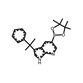 CC(C)(c1ccccc1)c1c[nH]c2ncc(B3OC(C)(C)C(C)(C)O3)cc12